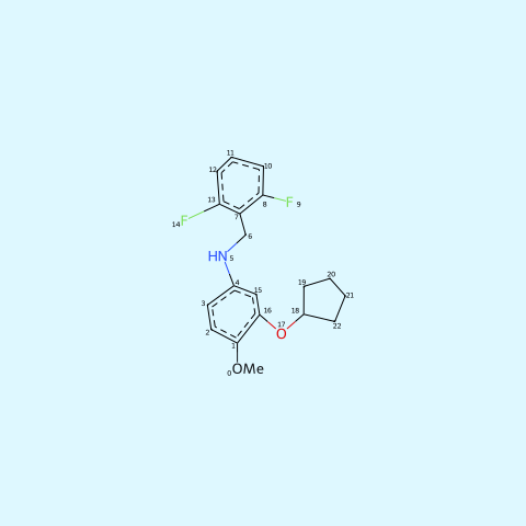 COc1ccc(NCc2c(F)cccc2F)cc1OC1CCCC1